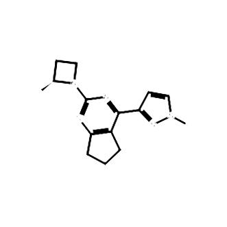 C[C@H]1CCN1c1nc2c(c(-c3ccn(C)n3)n1)CCC2